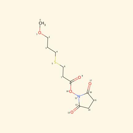 COCCCSCCC(=O)ON1C(=O)CCC1=O